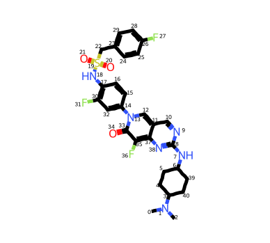 CN(C)C1CCC(Nc2ncc3cn(-c4ccc(NS(=O)(=O)Cc5ccc(F)cc5)c(F)c4)c(=O)c(F)c3n2)CC1